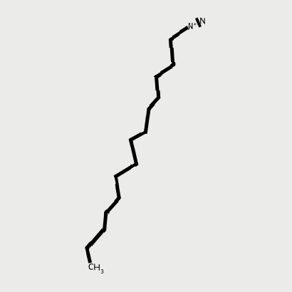 CCCCCCCCCCCCCC[N+]#N